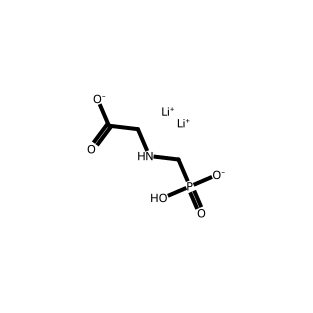 O=C([O-])CNCP(=O)([O-])O.[Li+].[Li+]